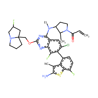 C=CC(=O)N1CCC(N(CC)c2nc(OCC34CCCN3CC(F)C4)nc3c(F)c(-c4ccc(F)c5sc(N)c(C#N)c45)c(Cl)cc23)C1C